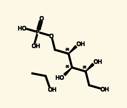 CCO.O=P(O)(O)OC[C@@H](O)[C@H](O)[C@@H](O)CO